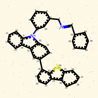 C(=N\Cc1cccc(-n2c3ccccc3c3cc(-c4cccc5c4sc4ccccc45)ccc32)c1)/c1ccccc1